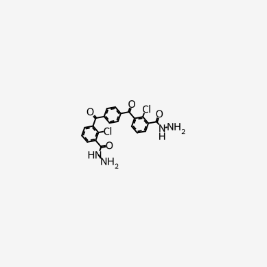 NNC(=O)c1cccc(C(=O)c2ccc(C(=O)c3cccc(C(=O)NN)c3Cl)cc2)c1Cl